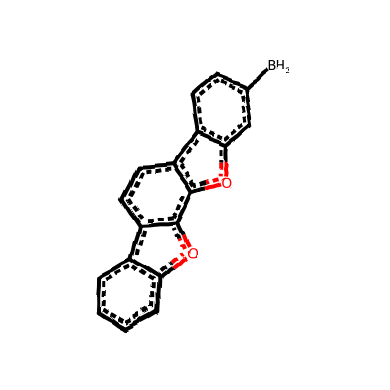 Bc1ccc2c(c1)oc1c2ccc2c3ccccc3oc21